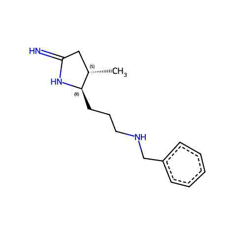 C[C@H]1CC(=N)N[C@@H]1CCCNCc1ccccc1